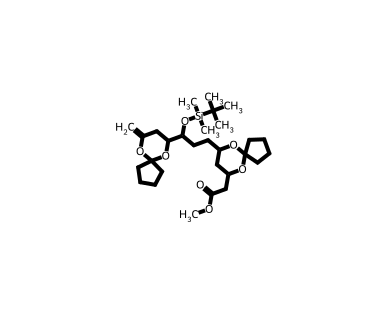 C=C1CC(C(CCC2CC(CC(=O)OC)OC3(CCCC3)O2)O[Si](C)(C)C(C)(C)C)OC2(CCCC2)O1